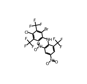 O=[N+]([O-])c1cc([N+](=O)[O-])c(Nc2cc(C(F)(F)F)c(Cl)c(C(F)(F)F)c2Br)c(C(F)(F)F)c1